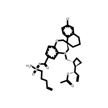 C=CCCCS(N)(=O)=NC(=O)c1ccc2c(c1)N(C[C@@H]1CC[C@H]1[C@H](C=C)OC(C)=O)C[C@@]1(CCCc3cc(Cl)ccc31)CO2